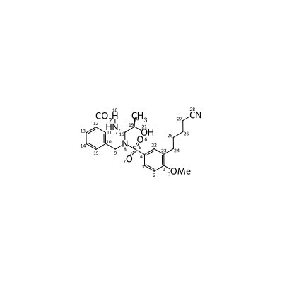 COc1ccc(S(=O)(=O)N(Cc2ccccc2)[C@H](NC(=O)O)[C@@H](C)O)cc1CCCCC#N